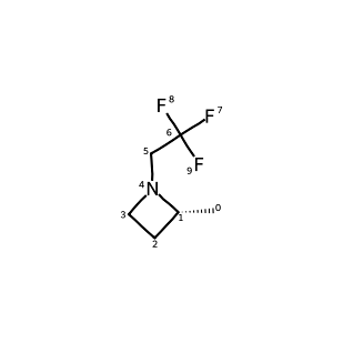 C[C@@H]1CCN1CC(F)(F)F